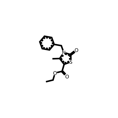 CCOC(=O)c1sc(=O)n(Cc2ccccc2)c1C